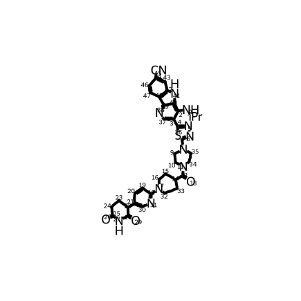 CC(C)Nc1c(-c2nnc(N3CCN(C(=O)C4CCN(c5ccc(C6CCC(=O)NC6=O)cn5)CC4)CC3)s2)cnc2c1[nH]c1cc(C#N)ccc12